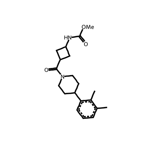 COC(=O)NC1CC(C(=O)N2CCC(c3cccc(C)c3C)CC2)C1